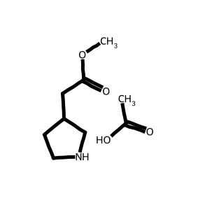 CC(=O)O.COC(=O)CC1CCNC1